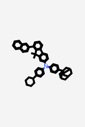 CC1(C)c2cc(N(c3ccc(C4CCCCC4)cc3)c3ccc(C45CC6CC(CC(C6)C4)C5)cc3)ccc2-c2cccc(-c3ccc4ccccc4c3)c21